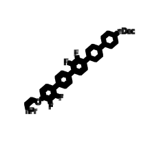 CCC/C=C\Oc1ccc(-c2ccc(-c3ccc(C4CCC(C5CCC(CCCCCCCCCC)CC5)CC4)c(F)c3F)cc2)c(F)c1F